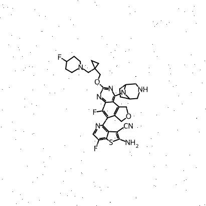 N#Cc1c(N)sc2c(F)cnc(-c3c4c(c5c(N6C7CCC6CNC7)nc(OCC6(CN7CCC(F)CC7)CC6)nc5c3F)COC4)c12